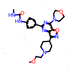 CNC(=O)Nc1ccc(-c2nc(N3CCOCC3)c3onc(C4CCN(CCOC)CC4)c3n2)cc1